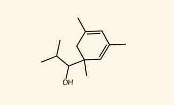 CC1=CC(C)(C(O)C(C)C)CC(C)=C1